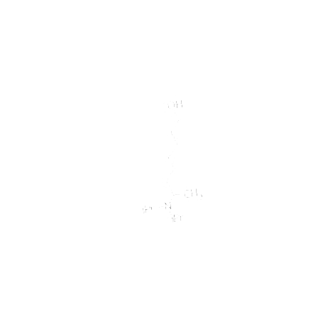 CC(C)N(C(C)C)C(C)CCCCCCO